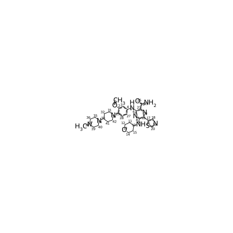 COc1cc(Nc2nc(NC3CCOCC3)c(-c3cncs3)nc2C(N)=O)ccc1N1CCC(N2CCN(C)CC2)CC1